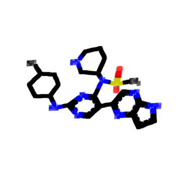 CS(=O)(=O)N(c1nc(NC2CCC(C#N)CC2)ncc1-c1cnc2[nH]ccc2n1)C1CCCNC1